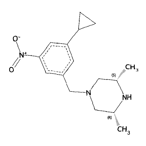 C[C@@H]1CN(Cc2cc(C3CC3)cc([N+](=O)[O-])c2)C[C@H](C)N1